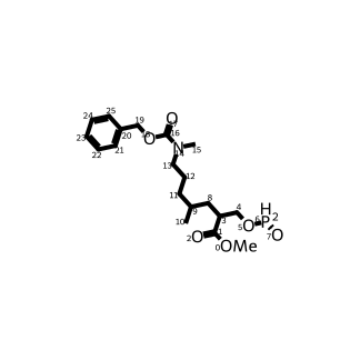 COC(=O)C(CO[PH2]=O)CC(C)CCCN(C)C(=O)OCc1ccccc1